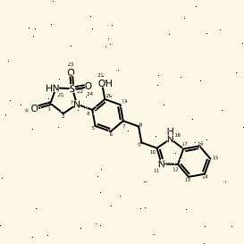 O=C1CN(c2ccc(CCc3nc4ccccc4[nH]3)cc2O)S(=O)(=O)N1